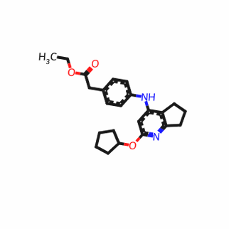 CCOC(=O)Cc1ccc(Nc2cc(OC3CCCC3)nc3c2CCC3)cc1